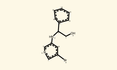 OCC(Nc1cncc(Br)c1)c1ccccc1